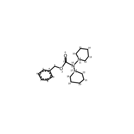 O=C(OCc1ccccc1)N(N1CCCCC1)N1CCCCC1